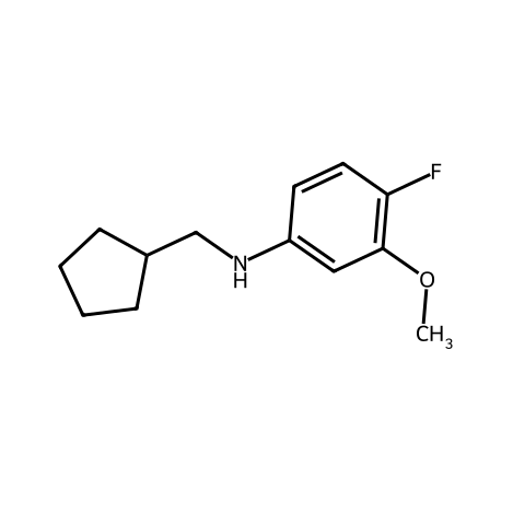 COc1cc(NCC2CCCC2)ccc1F